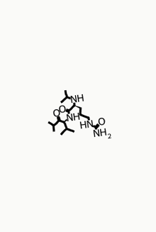 CC(C)N[C@@H](CCCNC(N)=O)C(=O)N[C@H](C(=O)C(C)C)C(C)C